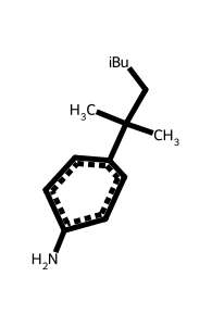 CCC(C)CC(C)(C)c1ccc(N)cc1